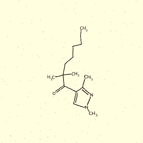 CCCCCC(C)(C)C(=O)c1cn(C)nc1C